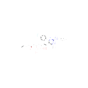 C=CCCC(=O)CC(O)CC(O)/C=C/c1c(-c2ccc(F)cc2)nc(N(C)SC)nc1C(C)C